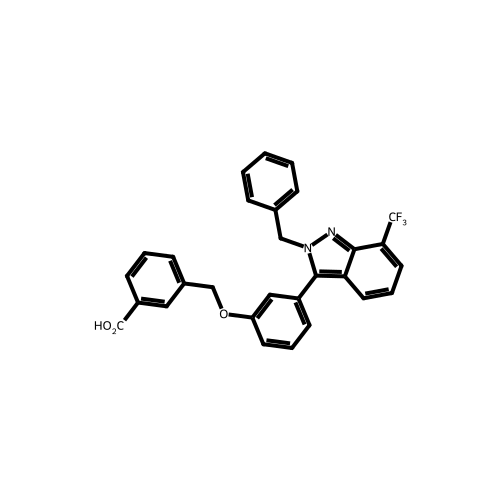 O=C(O)c1cccc(COc2cccc(-c3c4cccc(C(F)(F)F)c4nn3Cc3ccccc3)c2)c1